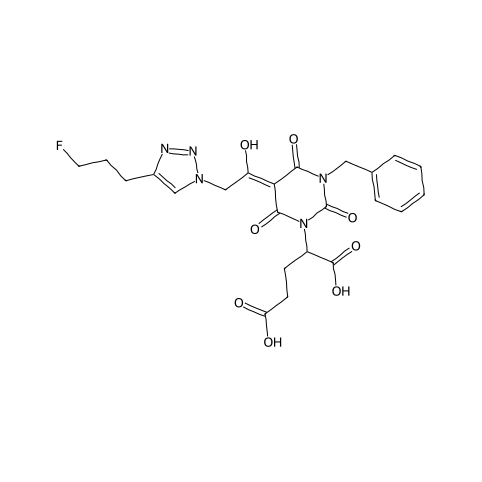 O=C(O)CCC(C(=O)O)N1C(=O)/C(=C(/O)Cn2cc(CCCF)nn2)C(=O)N(Cc2ccccc2)C1=O